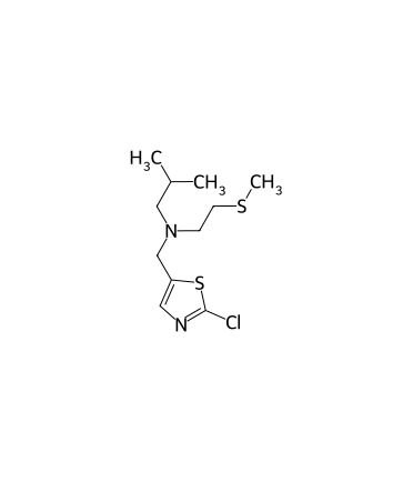 CSCCN(Cc1cnc(Cl)s1)CC(C)C